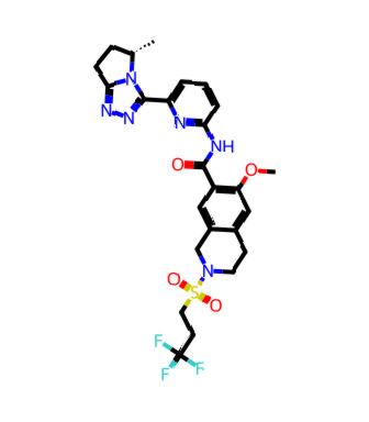 COc1cc2c(cc1C(=O)Nc1cccc(-c3nnc4n3[C@@H](C)CC4)n1)CN(S(=O)(=O)CCC(F)(F)F)CC2